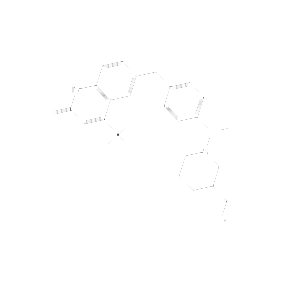 O=c1cc(C(F)(F)F)c2cc(Cc3ccc([S+]([O-])N4CCCC(CO)C4)cc3)ccc2[nH]1